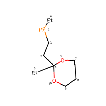 CCPCCC1(CC)OCCCO1